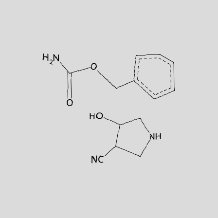 N#CC1CNCC1O.NC(=O)OCc1ccccc1